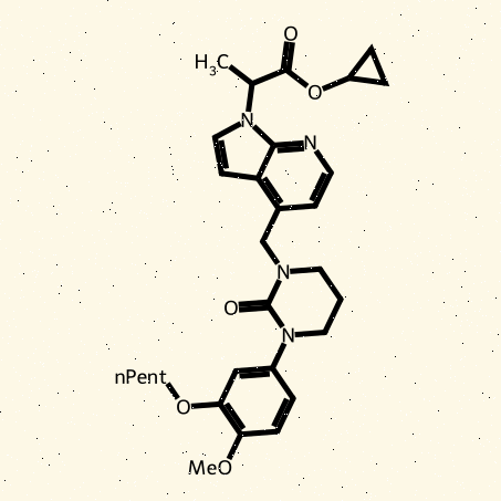 CCCCCOc1cc(N2CCCN(Cc3ccnc4c3ccn4C(C)C(=O)OC3CC3)C2=O)ccc1OC